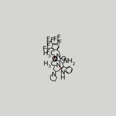 CC(=O)N(Cc1cc(C(F)(F)F)c(C(F)(F)F)c(C(F)(F)F)c1)C(=O)C(C(C)=O)(C(N)c1c[nH]c2ccccc12)N1CCC(N2CCCCC2)CC1